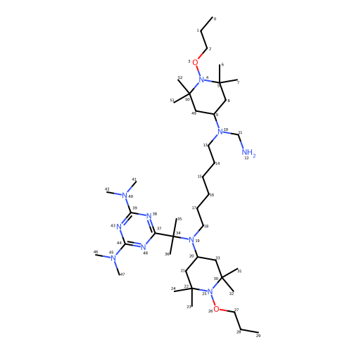 CCCON1C(C)(C)CC(N(CN)CCCCCCN(C2CC(C)(C)N(OCCC)C(C)(C)C2)C(C)(C)c2nc(N(C)C)nc(N(C)C)n2)CC1(C)C